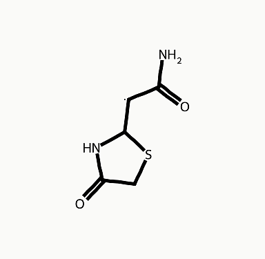 NC(=O)[CH]C1NC(=O)CS1